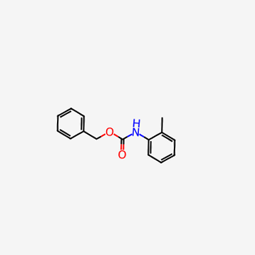 Cc1ccccc1NC(=O)OCc1ccccc1